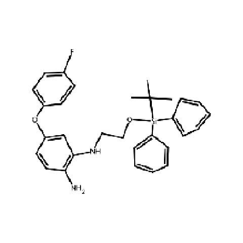 CC(C)(C)[Si](OCCNc1cc(Oc2ccc(F)cc2)ccc1N)(c1ccccc1)c1ccccc1